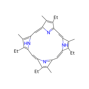 CCC1=C(C)c2cc3[nH]c(cc4nc(cc5[nH]c(cc1n2)c(C)c5CC)C(C)=C4CC)c(CC)c3C